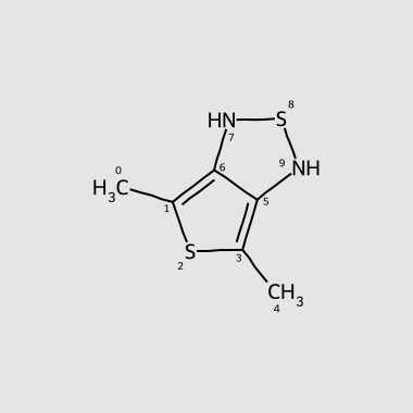 Cc1sc(C)c2c1NSN2